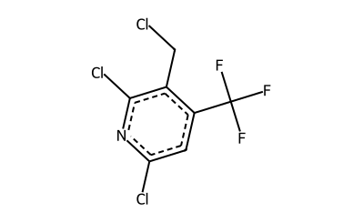 FC(F)(F)c1cc(Cl)nc(Cl)c1CCl